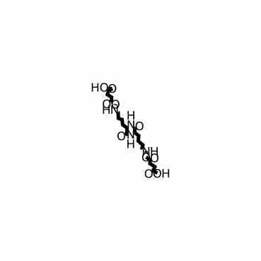 O=C(O)CCC(=O)ONCCCCC1NC(=O)C(CCCCNOC(=O)CCC(=O)O)NC1=O